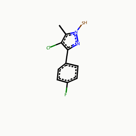 Cc1c(Cl)c(-c2ccc(F)cc2)nn1S